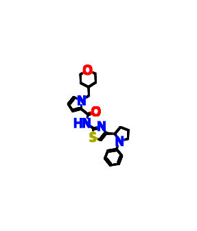 O=C(Nc1nc([C@H]2CCCN2c2ccccc2)cs1)c1cccn1CC1CCOCC1